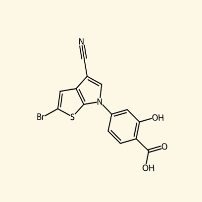 N#Cc1cn(-c2ccc(C(=O)O)c(O)c2)c2sc(Br)cc12